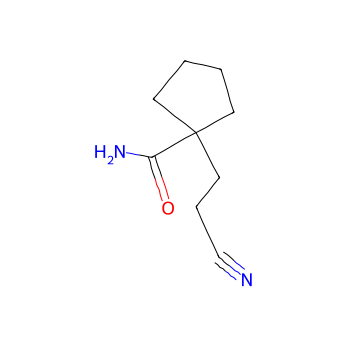 N#CCCC1(C(N)=O)CCCC1